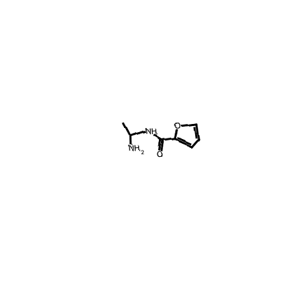 CC(N)NC(=O)c1ccco1